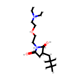 CCN(CC)CCOCCN1C(=O)CC(CC(C)(C)C(C)(C)C)C1=O